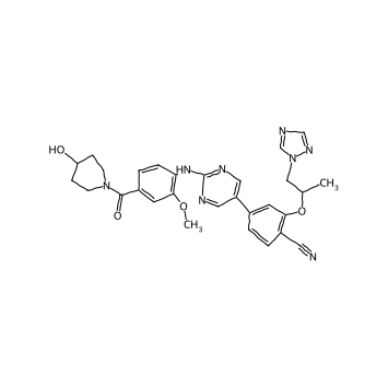 COc1cc(C(=O)N2CCC(O)CC2)ccc1Nc1ncc(-c2ccc(C#N)c(OC(C)Cn3cncn3)c2)cn1